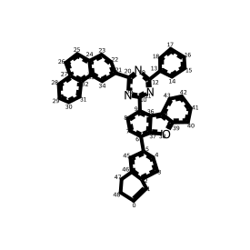 C1=Cc2ccc(-c3ccc(-c4nc(-c5ccccc5)nc(-c5ccc6ccc7ccccc7c6c5)n4)c4c3oc3ccccc34)cc2CC1